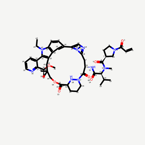 C=CC(=O)N1CC[C@H](C(=O)N(C)[C@H](C(=O)N[C@H]2Cc3ncc(n3C)-c3ccc4c(c3)c(c(-c3cccnc3[C@H](C)OC)n4CC)CC(C)(C)COC(=O)[C@@H]3CCCN(N3)C2=O)C(C)C)C1